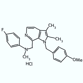 COc1ccc(Cn2c(C)c(C)c3ccnc(CN(C)c4ccc(F)cc4)c32)cc1.Cl